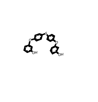 Oc1cccc(Oc2ccc(Sc3ccc(Oc4cccc(O)c4)cc3)cc2)c1